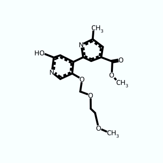 COCCOCOc1cnc(O)cc1-c1cc(C(=O)OC)cc(C)n1